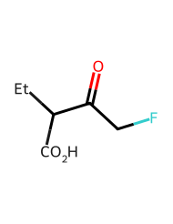 CCC(C(=O)O)C(=O)CF